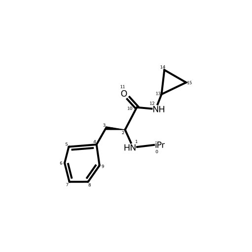 CC(C)N[C@@H](Cc1ccccc1)C(=O)NC1CC1